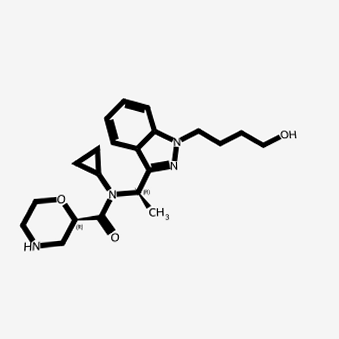 C[C@H](C1=NN(CCCCO)C2C=CC=CC12)N(C(=O)[C@H]1CNCCO1)C1CC1